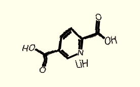 O=C(O)c1ccc(C(=O)O)nc1.[LiH]